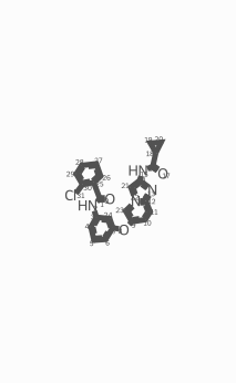 O=C(Nc1cccc(Oc2ccc3nc(NC(=O)C4CC4)cn3c2)c1)c1ccccc1Cl